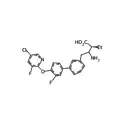 CC[C@H](C(=O)O)C(N)Cc1cccc(-c2ccc(Oc3ncc(Cl)cc3F)c(F)c2)c1